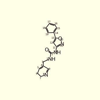 O=C(NCC1=CCCN=C1)Nc1cc(-c2ccccc2)on1